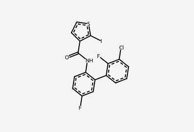 O=C(Nc1ccc(F)cc1-c1cccc(Cl)c1F)c1ccsc1I